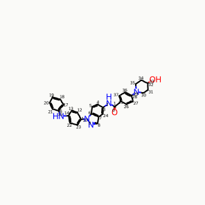 O=C(Nc1ccc2c(cnn2-c2ccc(Nc3ccccc3)cc2)c1)c1ccc(N2CCC(O)CC2)cc1